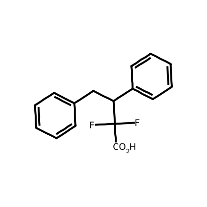 O=C(O)C(F)(F)C(Cc1ccccc1)c1ccccc1